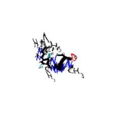 CCN1Cc2c(ccnc2N[C@@H](C)c2cc(F)c(-c3cc(C(C)(C)C)ncn3)cc2F)C1=O